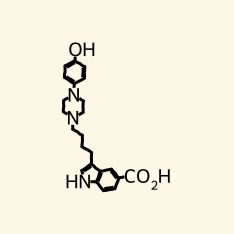 O=C(O)c1ccc2[nH]cc(CCCCN3CCN(c4ccc(O)cc4)CC3)c2c1